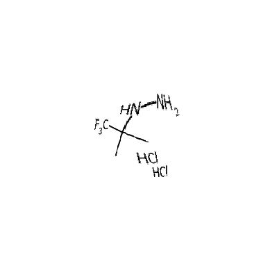 CC(C)(NN)C(F)(F)F.Cl.Cl